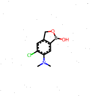 CN(C)c1cc2c(cc1Cl)COB2O